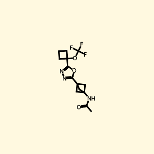 CC(=O)NC12CC(c3nnc(C4(OC(F)(F)F)CCC4)o3)(C1)C2